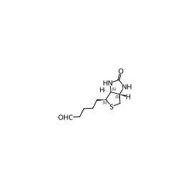 O=[C]CCCC[C@@H]1SC[C@H]2NC(=O)N[C@H]12